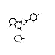 COc1ccc(-c2nc3c4cccc(Br)c4nc(N[C@@H]4CCCNC4=O)n3n2)cc1